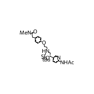 CNC(=O)Cc1ccc(OCCNC[C@H](O[Si](C)(C)C(C)(C)C)c2ccc(NC(C)=O)nc2)cc1